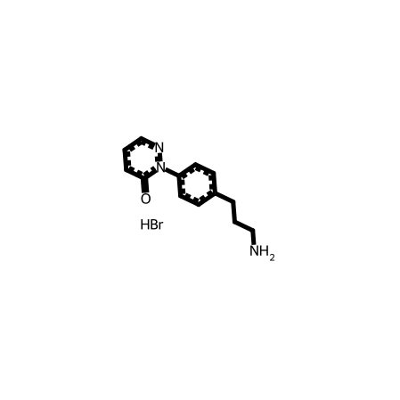 Br.NCCCc1ccc(-n2ncccc2=O)cc1